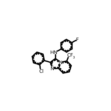 Fc1ccc(Nc2c(-c3ccccc3Cl)nc3cccc(C(F)(F)F)n23)cc1